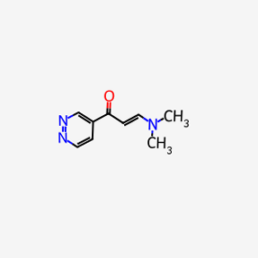 CN(C)C=CC(=O)c1ccnnc1